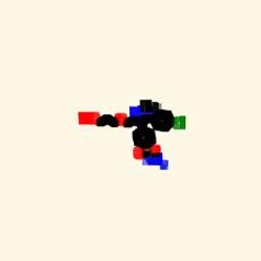 NS(=O)(=O)c1ccc(-c2c(COCCCO)n[nH]c2-c2ccc(Cl)cc2)cc1.[Na]